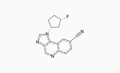 N#Cc1ccc2ncc3ncn([C@@H]4CC[C@H](F)C4)c3c2c1